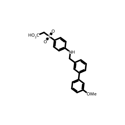 COc1cccc(-c2cccc(CNc3ccc(S(=O)(=O)CC(=O)O)cc3)c2)c1